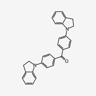 O=C(c1ccc(N2CCc3ccccc32)cc1)c1ccc(N2CCc3ccccc32)cc1